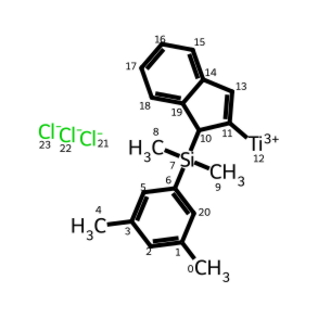 Cc1cc(C)cc([Si](C)(C)C2[C]([Ti+3])=Cc3ccccc32)c1.[Cl-].[Cl-].[Cl-]